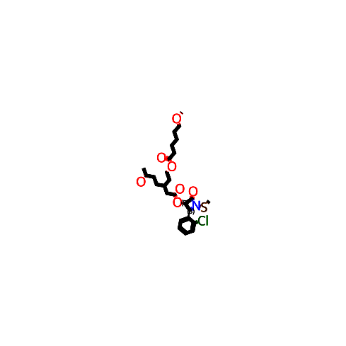 COCCCCCC(=O)OCCC(CCC(C)=O)CC(=O)O[C@H]1C(=O)N(SC)[C@H]1c1ccccc1Cl